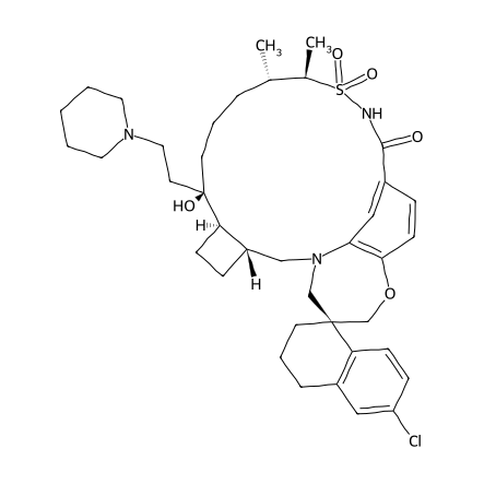 C[C@@H]1[C@@H](C)CCC[C@@](O)(CCN2CCCCC2)[C@@H]2CC[C@H]2CN2C[C@@]3(CCCc4cc(Cl)ccc43)COc3ccc(cc32)C(=O)NS1(=O)=O